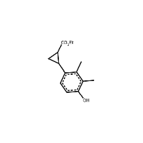 CCOC(=O)C1CC1c1ccc(O)c(C)c1C